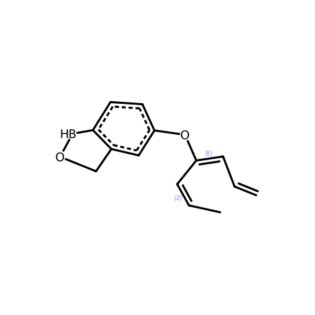 C=C/C=C(\C=C/C)Oc1ccc2c(c1)COB2